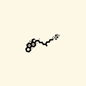 CC(CCCCO[Si](C)(C)C(C)(C)C)CCC[C@@H](C)[C@H]1CC[C@H]2[C@@H]3CCC4CCCC[C@]4(C)[C@H]3CC[C@]12C